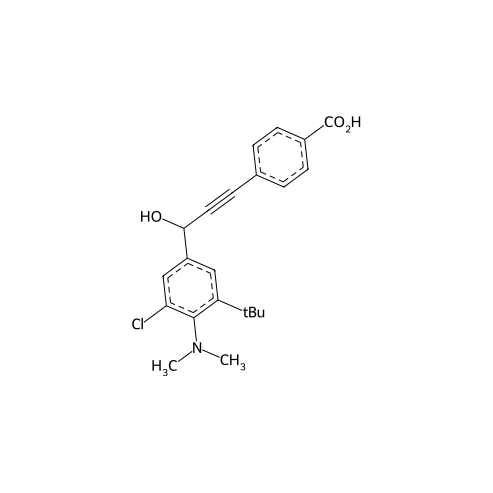 CN(C)c1c(Cl)cc(C(O)C#Cc2ccc(C(=O)O)cc2)cc1C(C)(C)C